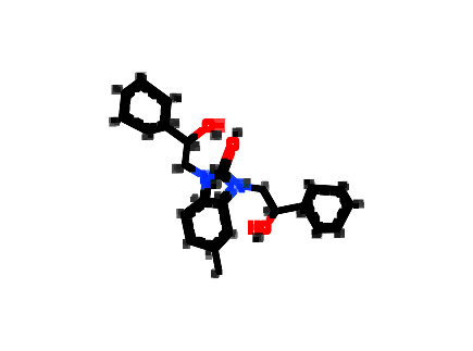 Cc1ccc2c(c1)n(CC(O)c1ccccc1)c(=O)n2CC(O)c1ccccc1